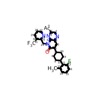 CC(=O)c1cnc2cc(C3CCC(c4c(C)cccc4F)CC3)c(=O)n(Cc3ncccc3C(F)(F)F)c2n1